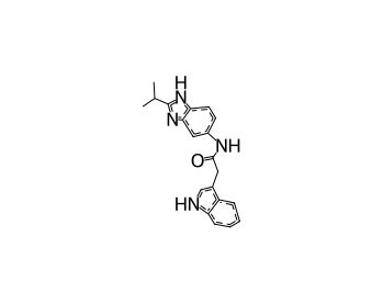 CC(C)c1nc2cc(NC(=O)Cc3c[nH]c4ccccc34)ccc2[nH]1